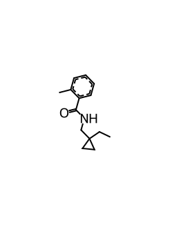 CCC1(CNC(=O)c2ccccc2C)CC1